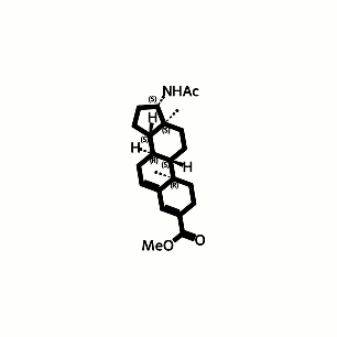 COC(=O)C1=CC2=CC[C@H]3[C@@H]4CC[C@H](NC(C)=O)[C@@]4(C)CC[C@@H]3[C@@]2(C)CC1